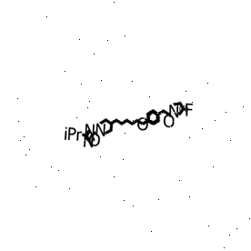 CC(C)c1noc(N2CCC(CCCCCOc3ccc(CC(=O)N4CC[C@@H](F)C4)cc3)CC2)n1